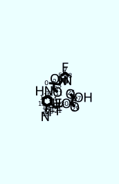 CC(O)(Cn1cc(F)cn1)C(=O)Nc1ccc(C#N)c(C(F)(F)F)c1.O=C(O)C(=O)O